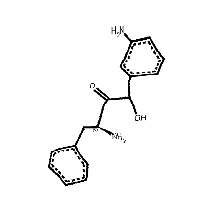 Nc1cccc(C(O)C(=O)[C@@H](N)Cc2ccccc2)c1